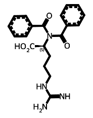 N=C(N)NCCC[C@@H](C(=O)O)N(C(=O)c1ccccc1)C(=O)c1ccccc1